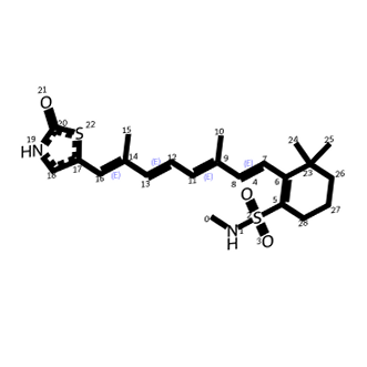 CNS(=O)(=O)C1=C(/C=C/C(C)=C/C=C/C(C)=C/c2c[nH]c(=O)s2)C(C)(C)CCC1